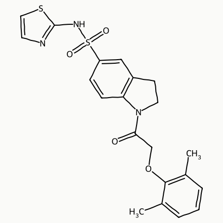 Cc1cccc(C)c1OCC(=O)N1CCc2cc(S(=O)(=O)Nc3nccs3)ccc21